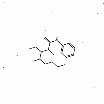 C=C(Nc1ccccc1)C(C)C(CC)C(C)CCCC